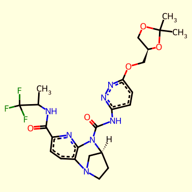 CC(NC(=O)c1ccc2c(n1)N(C(=O)Nc1ccc(OC[C@H]3COC(C)(C)O3)nn1)[C@H]1CCN2C1)C(F)(F)F